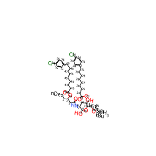 CCCCCCCCCCC[C@@H](CC(=O)N[C@H]1C(O)O[C@H](CO[Si](C)(C)C(C)(C)C)[C@@H](O)[C@@H]1OC(=O)CCCCCCCCc1ccc(Cl)cc1)OC(=O)CCCCCCCCc1ccc(Cl)cc1